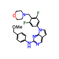 COCc1ccc(Nc2ncc3ccn(-c4cc(F)c(CN5CCOCC5)c(F)c4)c3n2)cc1